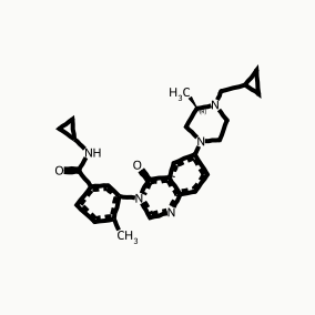 Cc1ccc(C(=O)NC2CC2)cc1-n1cnc2ccc(N3CCN(CC4CC4)[C@H](C)C3)cc2c1=O